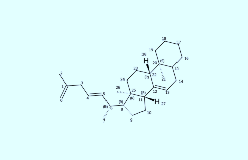 C=C(C)CC=C[C@@H](C)[C@H]1CC[C@H]2C3=CCC4CCCC[C@]4(C)[C@H]3CC[C@]12C